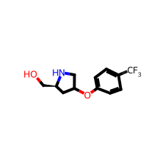 OC[C@@H]1CC(Oc2ccc(C(F)(F)F)cc2)CN1